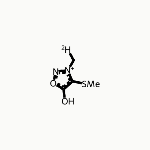 [2H]C[n+]1noc(O)c1SC